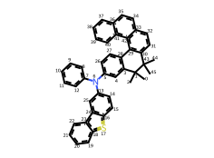 CC1(C)c2cc(N(c3ccccc3)c3ccc4sc5ccccc5c4c3)ccc2-c2c(ccc3ccc4ccccc4c23)C1(C)C